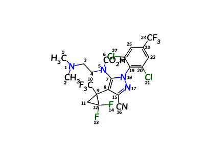 CN(C)CCN(C(=O)O)c1c(C2(C(F)(F)F)CC2(F)F)c(C#N)nn1-c1c(Cl)cc(C(F)(F)F)cc1Cl